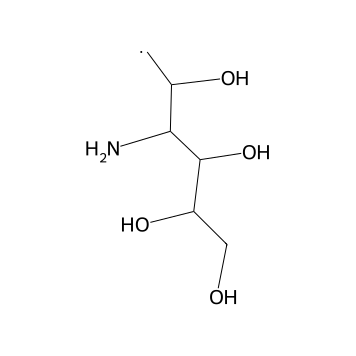 [CH2]C(O)C(N)C(O)C(O)CO